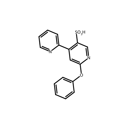 O=S(=O)(O)c1cnc(Oc2ccccc2)cc1-c1ccccn1